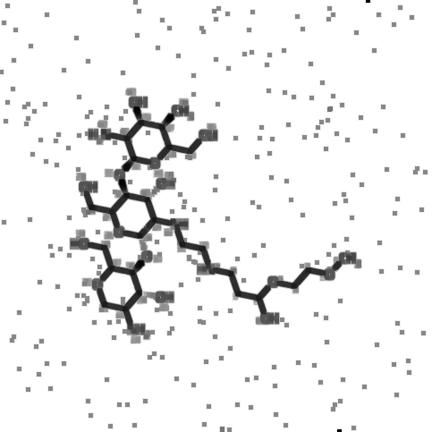 COCCOC(O)CCNCCNC1[C@H](O[C@@H]2C(CO)OCC(N)[C@H]2O)OC(CO)[C@@H](O[C@@H]2OC(CO)[C@H](C)[C@H](O)C2N)[C@@H]1O